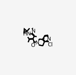 C=N/C(NC1(C)CC1)=C(\C)C(C(=O)N1CCc2c(ccnc2Cl)C1)=C(C)C